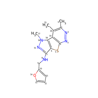 Cc1nnc2sc3c(NCc4ccco4)nn(C)c3c2c1C